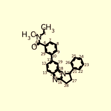 CCN(C)C(=O)c1cccc(-c2ccc3nc4n(c3c2)C(c2ccccc2)CC4)c1